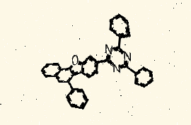 c1ccc(-c2nc(-c3ccccc3)nc(-c3ccc4c(c3)oc3c5ccccc5cc(-c5ccccc5)c43)n2)cc1